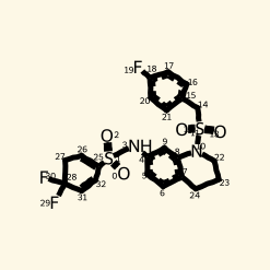 O=S(=O)(Nc1ccc2c(c1)N(S(=O)(=O)Cc1ccc(F)cc1)CCC2)C1=CCC(F)(F)C=C1